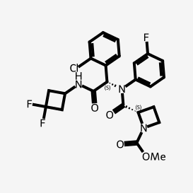 COC(=O)N1CC[C@H]1C(=O)N(c1cccc(F)c1)[C@H](C(=O)NC1CC(F)(F)C1)c1ccccc1Cl